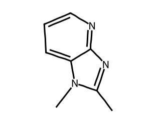 Cc1nc2ncccc2n1C